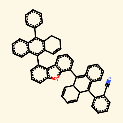 N#Cc1ccccc1C1=c2ccccc2=C(c2cccc3c2oc2cccc(-c4c5c(c(-c6ccccc6)c6ccccc46)CCC=C5)c23)C2C=CC=CC12